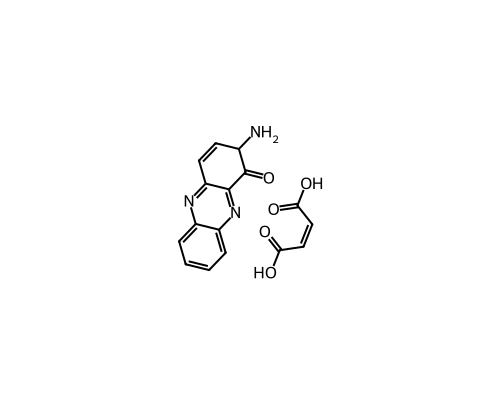 NC1C=Cc2nc3ccccc3nc2C1=O.O=C(O)/C=C\C(=O)O